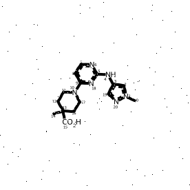 Cn1cc(Nc2nccc(N3CCC(C)(C(=O)O)CC3)n2)cn1